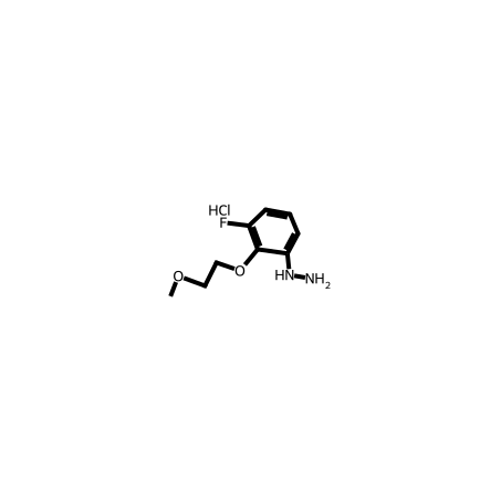 COCCOc1c(F)cccc1NN.Cl